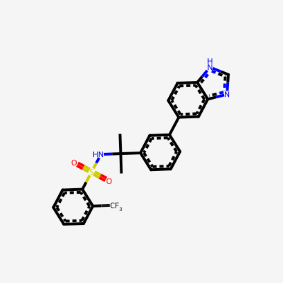 CC(C)(NS(=O)(=O)c1ccccc1C(F)(F)F)c1cccc(-c2ccc3[nH]cnc3c2)c1